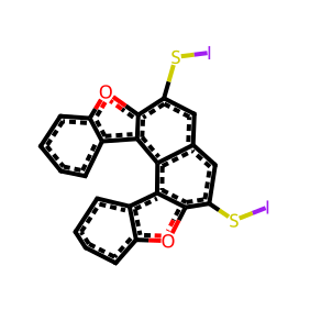 ISc1cc2cc(SI)c3oc4ccccc4c3c2c2c1oc1ccccc12